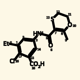 CCc1cc(NC(=O)C2=C(C)OCCS2)cc(C(=O)O)c1Cl